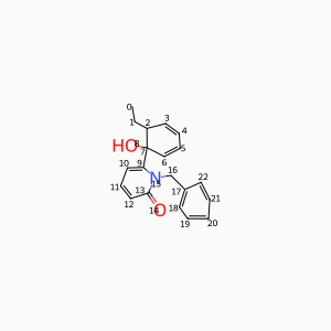 CCC1C=CC=CC1(O)c1cccc(=O)n1Cc1ccccc1